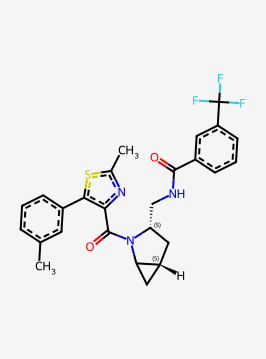 Cc1cccc(-c2sc(C)nc2C(=O)N2C3C[C@H]3C[C@H]2CNC(=O)c2cccc(C(F)(F)F)c2)c1